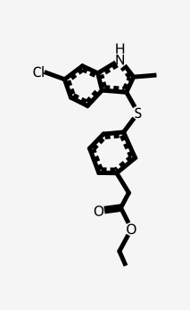 CCOC(=O)Cc1cccc(Sc2c(C)[nH]c3cc(Cl)ccc23)c1